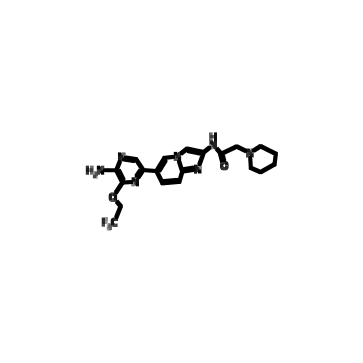 Nc1ncc(-c2ccc3nc(NC(=O)CN4CCCCC4)cn3c2)nc1OCC(F)(F)F